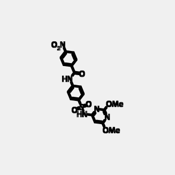 COc1cc(NS(=O)(=O)c2ccc(NC(=O)c3ccc([N+](=O)[O-])cc3)cc2)nc(OC)n1